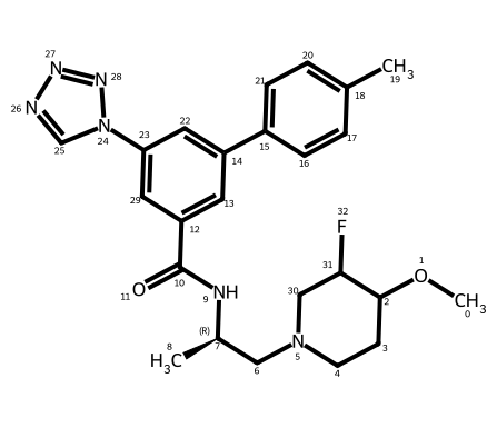 COC1CCN(C[C@@H](C)NC(=O)c2cc(-c3ccc(C)cc3)cc(-n3cnnn3)c2)CC1F